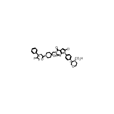 O=C(C[C@H](c1ccccc1)C(F)F)N1CCC(O)(Cn2cnc3c(cc(Cl)n3-c3ccc([C@@H]4COCCN4C(=O)O)cc3)c2=O)CC1